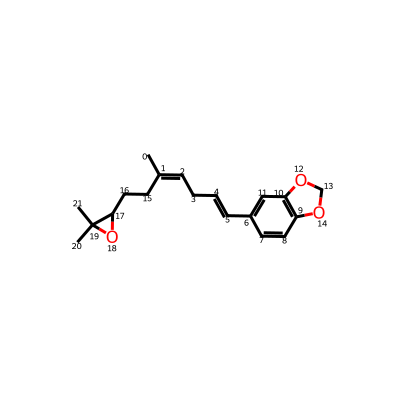 CC(=CCC=Cc1ccc2c(c1)OCO2)CCC1OC1(C)C